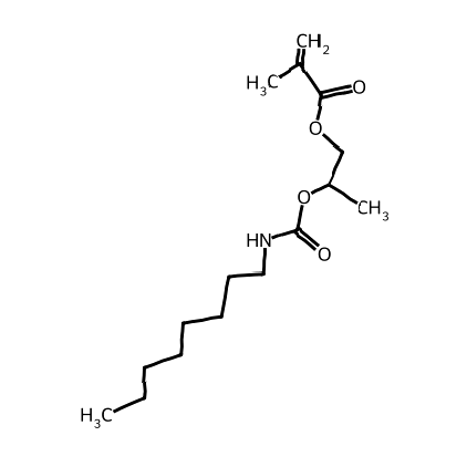 C=C(C)C(=O)OCC(C)OC(=O)NCCCCCCCC